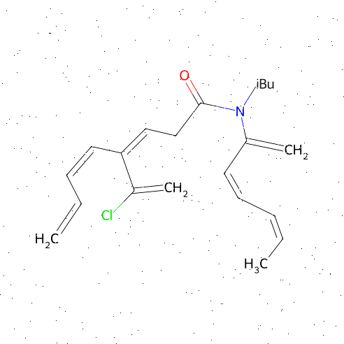 C=C/C=C\C(=C\CC(=O)N(C(=C)/C=C\C=C/C)C(C)CC)C(=C)Cl